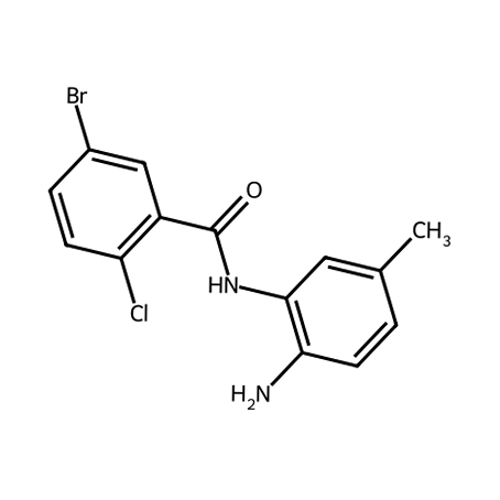 Cc1ccc(N)c(NC(=O)c2cc(Br)ccc2Cl)c1